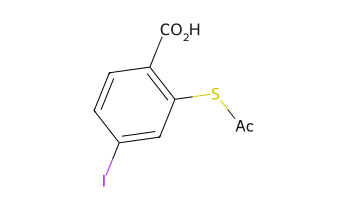 CC(=O)Sc1cc(I)ccc1C(=O)O